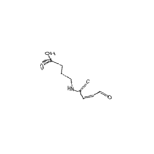 O=C/C=C\C(=O)NCCCC(=O)O